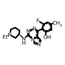 CCN1CCC[C@@H](Nc2nnc(-c3c(O)cc(C)cc3F)c3cncn23)C1